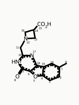 Cc1ccc2oc3c(=O)[nH]c(CN4CC(C(=O)O)C4)nc3c2c1